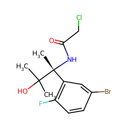 CC(C)(O)[C@](C)(NC(=O)CCl)c1cc(Br)ccc1F